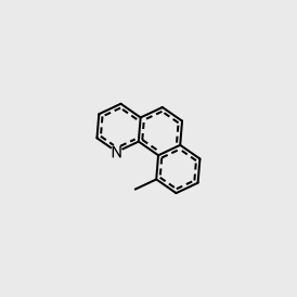 Cc1cccc2ccc3cccnc3c12